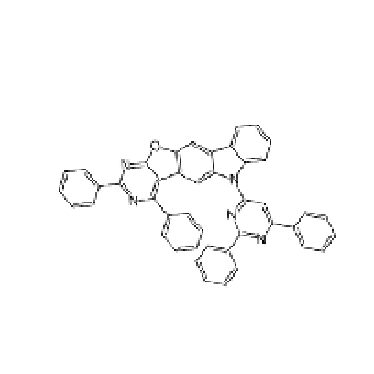 c1ccc(-c2cc(-n3c4ccccc4c4cc5oc6nc(-c7ccccc7)nc(-c7ccccc7)c6c5cc43)nc(-c3ccccc3)n2)cc1